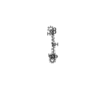 O=C1CCCCCN1C(=O)NCCCCCCNCCCCCCNC(=O)N1CCCCCC1=O